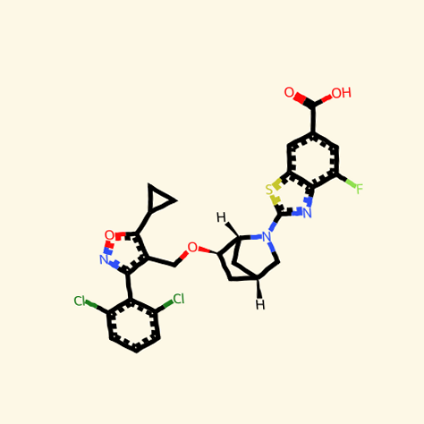 O=C(O)c1cc(F)c2nc(N3C[C@H]4C[C@@H]3[C@H](OCc3c(-c5c(Cl)cccc5Cl)noc3C3CC3)C4)sc2c1